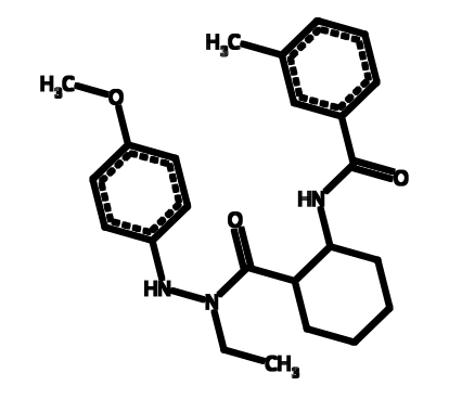 CCN(Nc1ccc(OC)cc1)C(=O)C1CCCCC1NC(=O)c1cccc(C)c1